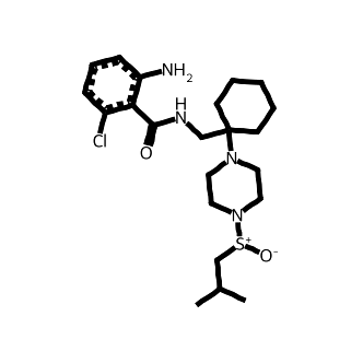 CC(C)C[S+]([O-])N1CCN(C2(CNC(=O)c3c(N)cccc3Cl)CCCCC2)CC1